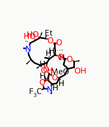 CC[C@H]1OC(=O)[C@H](C)[C@H]2O[C@H]3C[C@](OC)(C[C@@H]4C[C@H]5[C@@H](OC(C(F)(F)F)N5C)[C@@H](O4)O[C@H]([C@H]2C)[C@](C)(O)C[C@@H](C)CN(C)[C@H](C)[C@@H](O)[C@]1(C)O)[C@@H](O)[C@H](C)O3